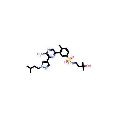 Cc1ccc(S(=O)(=O)NCCC(C)(C)O)cc1-c1cnc(N)c(-c2cnn(CCC(C)C)c2)n1